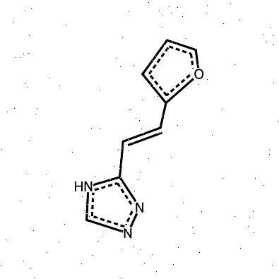 C(=Cc1ccco1)c1nnc[nH]1